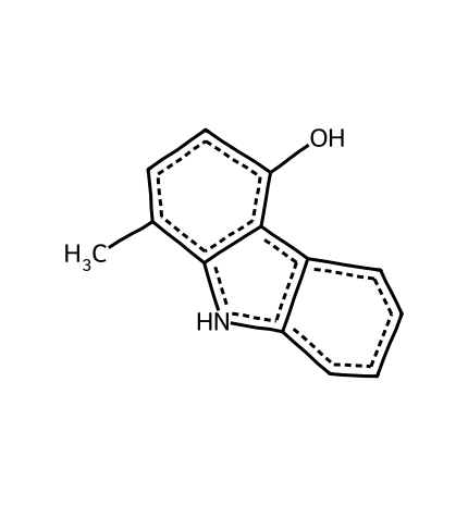 Cc1ccc(O)c2c1[nH]c1ccccc12